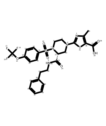 Cc1nc(N2CCN(S(=O)(=O)c3ccc(OC(F)(F)F)cc3)[C@@H](C(=O)NCCc3ccccc3)C2)sc1C(=O)O